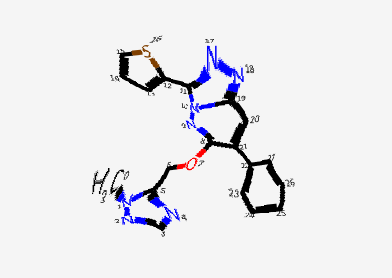 Cn1ncnc1COc1nn2c(-c3cccs3)nnc2cc1-c1ccccc1